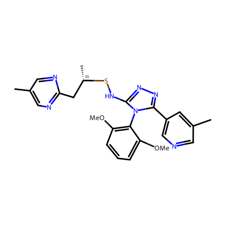 COc1cccc(OC)c1-n1c(NS[C@@H](C)Cc2ncc(C)cn2)nnc1-c1cncc(C)c1